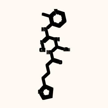 Cc1ncccc1NC(=NC#N)NC(NC(=O)CCCc1cccs1)C(C)(C)C